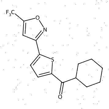 O=C(c1ccc(-c2cc(C(F)(F)F)on2)s1)C1CCCCC1